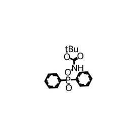 CC(C)(C)OC(=O)NOP(=O)(c1ccccc1)c1ccccc1